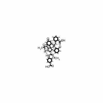 COc1cc(C(=O)O)ccc1NC(=O)[C@@H]1NC(CC(C)(C)C)[C@@]2(CN(Cc3ccccc3C(=O)O)c3cc(Cl)ccc32)[C@H]1c1cccc(Cl)c1F